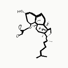 CC(C)CCC[C@@H](C)[C@H]1CC[C@H]2[C@@H]3CC=C4C[C@@H](O)CC(OC(=O)CCl)[C@]4(C)[C@H]3CC[C@]12C